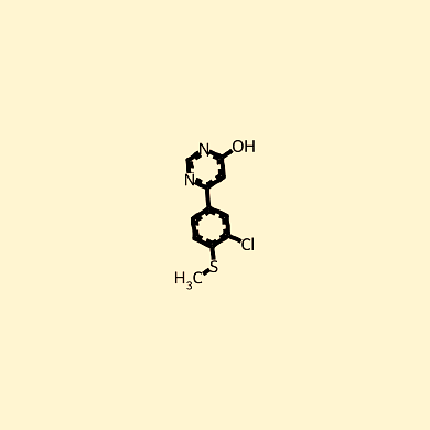 CSc1ccc(-c2cc(O)ncn2)cc1Cl